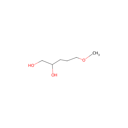 COCCCC(O)CO